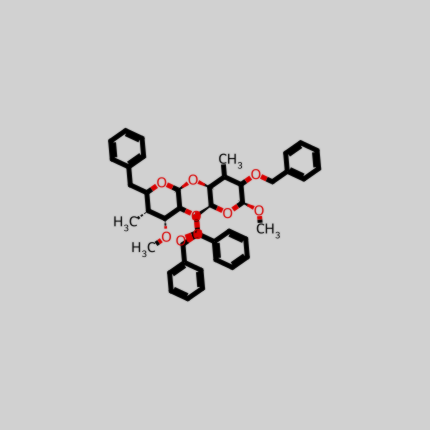 CO[C@H]1O[C@@H](COCc2ccccc2)[C@@H](O[C@@H]2OC(Cc3ccccc3)[C@@H](C)[C@@H](OC)C2OC(=O)c2ccccc2)C(C)C1OCc1ccccc1